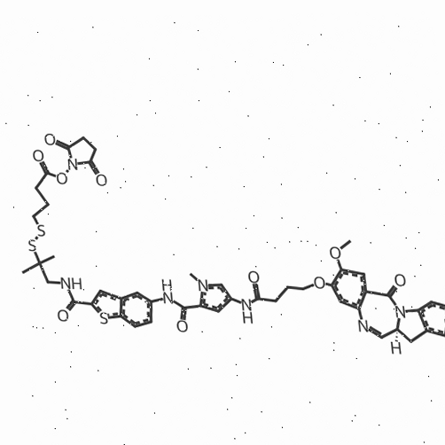 COc1cc2c(cc1OCCCC(=O)Nc1cc(C(=O)Nc3ccc4sc(C(=O)NCC(C)(C)SSCCCC(=O)ON5C(=O)CCC5=O)cc4c3)n(C)c1)N=C[C@@H]1Cc3ccccc3N1C2=O